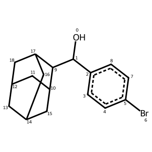 OC(c1ccc(Br)cc1)C1C2CC3CC(C2)CC1C3